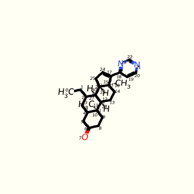 CCC1CC2CC(=O)CC[C@]2(C)[C@@H]2CC[C@]3(C)C(c4ccncn4)=CC[C@H]3[C@H]12